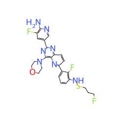 Nc1ncc(-c2nc(N3CCOCC3)c3nc(-c4cccc(NSCCCF)c4F)ccc3n2)cc1F